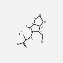 C=C(C)C(O)OC1C(C)C2CCCC2C1CC